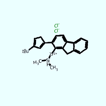 C[SiH](C)[Zr+2][c]1c(C2=CC(C(C)(C)C)=CC2)ccc2c1Cc1ccccc1-2.[Cl-].[Cl-]